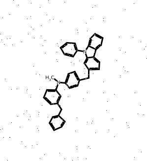 CN(c1ccc(Cc2ccc3c4ccccc4n(-c4ccccc4)c3c2)cc1)c1cccc(Cc2ccccc2)c1